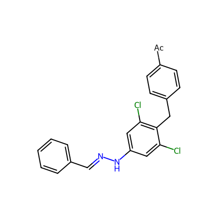 CC(=O)c1ccc(Cc2c(Cl)cc(NN=Cc3ccccc3)cc2Cl)cc1